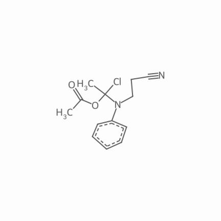 CC(=O)OC(C)(Cl)N(CCC#N)c1ccccc1